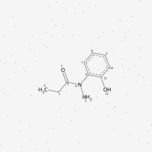 CCC(=O)N(N)c1ccccc1O